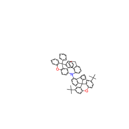 CC(C)(C)c1ccc2c(c1)C1(c3cc(C(C)(C)C)ccc3O2)c2ccccc2-c2c(N(c3ccc4c(c3)C(c3ccccc3)(c3ccccc3)c3ccccc3O4)c3cccc4c3C=CCC4)cccc21